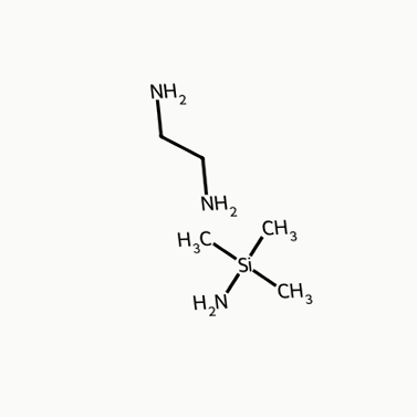 C[Si](C)(C)N.NCCN